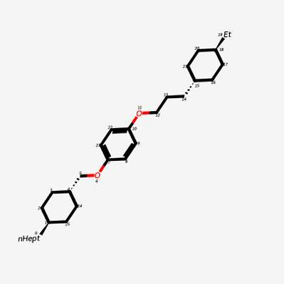 CCCCCCC[C@H]1CC[C@H](COc2ccc(OCCC[C@H]3CC[C@H](CC)CC3)cc2)CC1